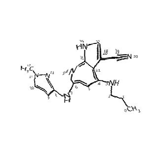 CCCNc1cc(Nc2ccn(C)n2)nc2[nH]cc(C#N)c12